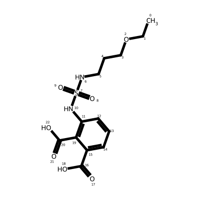 CCOCCCNS(=O)(=O)Nc1cccc(C(=O)O)c1C(=O)O